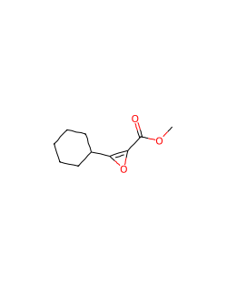 COC(=O)C1=C(C2CCCCC2)O1